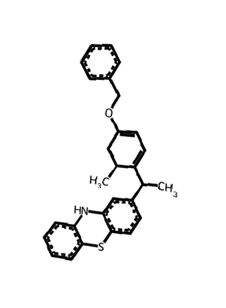 CC1CC(OCc2ccccc2)=CC=C1C(C)c1ccc2c(c1)Nc1ccccc1S2